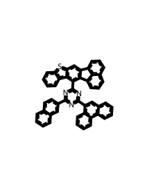 c1ccc2cc(-c3nc(-c4cc5ccccc5c5ccccc45)nc(-c4c5c(cc6sc7ccccc7c46)-c4cccc6cccc-5c46)n3)ccc2c1